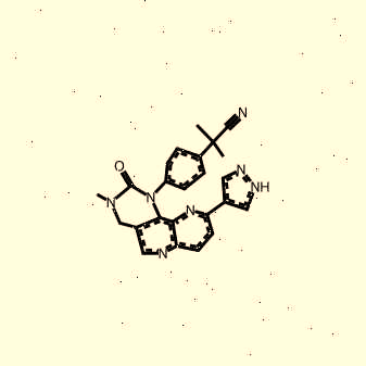 CN1Cc2cnc3ccc(-c4cn[nH]c4)nc3c2N(c2ccc(C(C)(C)C#N)cc2)C1=O